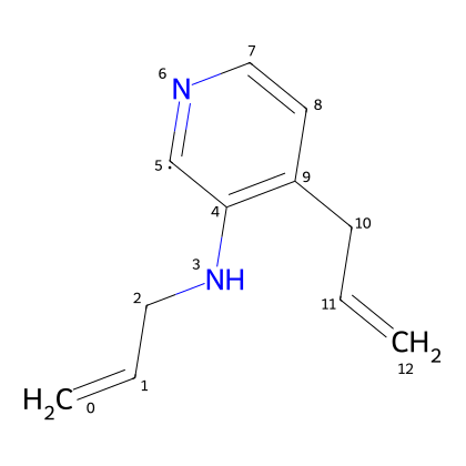 C=CCNc1[c]nccc1CC=C